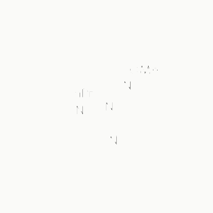 CCCN1C=C(C)CC2=C1N1CN(OC)C=C1C=N2